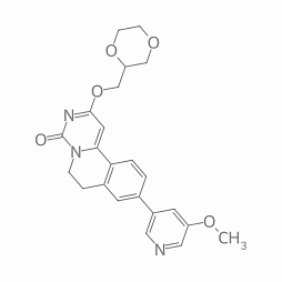 COc1cncc(-c2ccc3c(c2)CCn2c-3cc(OCC3COCCO3)nc2=O)c1